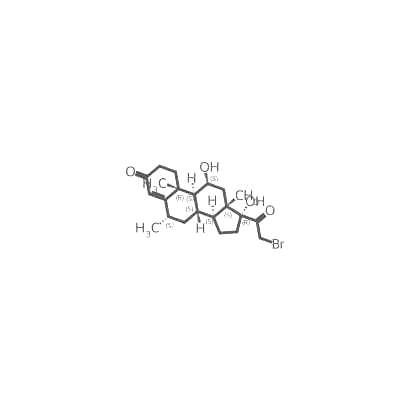 C[C@H]1C[C@@H]2[C@H]([C@@H](O)C[C@@]3(C)[C@H]2CC[C@]3(O)C(=O)CBr)[C@@]2(C)CCC(=O)C=C12